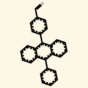 O=Cc1ccc(-c2c3ccccc3c(-c3ccccc3)c3ccccc23)cc1